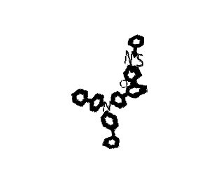 c1ccc(-c2ccc(N(c3ccc(-c4ccccc4)cc3)c3ccc(-c4cccc5c4oc4cc6nc(-c7ccccc7)sc6cc45)cc3)cc2)cc1